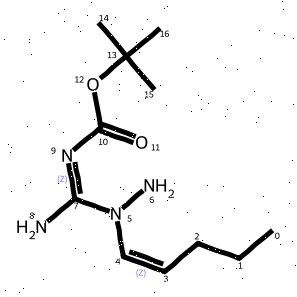 CCC/C=C\N(N)/C(N)=N\C(=O)OC(C)(C)C